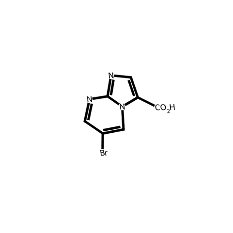 O=C(O)c1cnc2ncc(Br)cn12